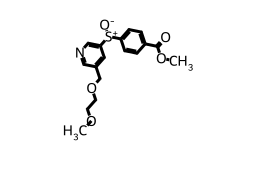 COCCOCc1cncc([S+]([O-])c2ccc(C(=O)OC)cc2)c1